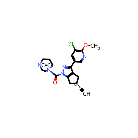 C#C[C@H]1Cc2c(-c3cnc(OC)c(Cl)c3)nn(C(=O)N3CCN4CCC3CC4)c2C1